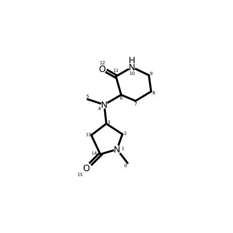 CN1CC(N(C)C2CCCNC2=O)CC1=O